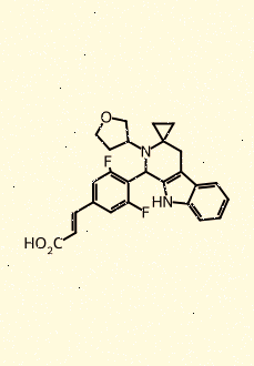 O=C(O)/C=C/c1cc(F)c(C2c3[nH]c4ccccc4c3CC3(CC3)N2C2CCOC2)c(F)c1